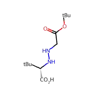 CC(C)(C)OC(=O)CNN[C@H](C(=O)O)C(C)(C)C